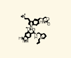 C=CCN1CCCC1CNC(=O)c1cc2nn[nH]c2cc1OC.CN(C)CCc1c[nH]c2ccc(C[C@H]3COC(=O)N3)cc12